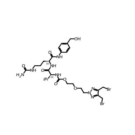 CC(C)[C@H](NC(=O)OCCOCCn1nc(CBr)c(CBr)n1)C(=O)N[C@@H](CCCNC(N)=O)C(=O)Nc1ccc(CO)cc1